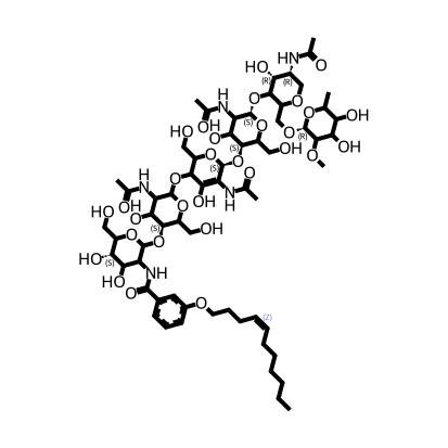 CCCCCC/C=C\CCCOc1cccc(C(=O)NC2C(O[C@@H]3C(CO)OC(OC4C(O)=C(NC(C)=O)[C@H](O[C@@H]5C(CO)O[C@@H](OC6C(CO[C@@H]7OC(C)C(O)C(O)C7OC)OC[C@@H](NC(C)=O)[C@H]6O)C(NC(C)=O)C5O)OC4CO)C(NC(C)=O)C3O)OC(CO)[C@@H](O)C2O)c1